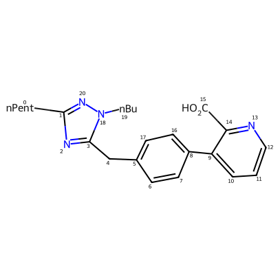 CCCCCc1nc(Cc2ccc(-c3cccnc3C(=O)O)cc2)n(CCCC)n1